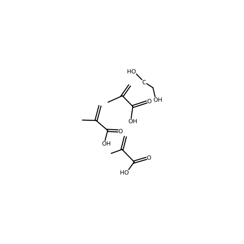 C=C(C)C(=O)O.C=C(C)C(=O)O.C=C(C)C(=O)O.OCCO